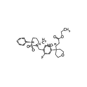 CCOC(=O)C[C@@H](O)C1(c2ccc(CN3[C@@H](C)CC[C@H](c4ccccc4)S3(=O)=O)c(F)c2)CCOCC1